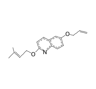 C=CCOc1ccc2nc(OCC=C(C)C)ccc2c1